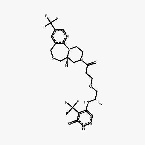 C[C@@H](COCCC(=O)N1CCN2c3ncc(C(F)(F)F)cc3CSC[C@H]2C1)Nc1cn[nH]c(=O)c1C(F)(F)F